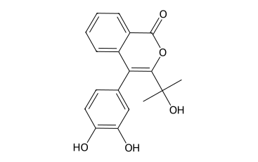 CC(C)(O)c1oc(=O)c2ccccc2c1-c1ccc(O)c(O)c1